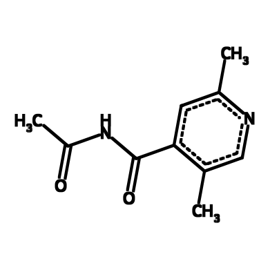 CC(=O)NC(=O)c1cc(C)ncc1C